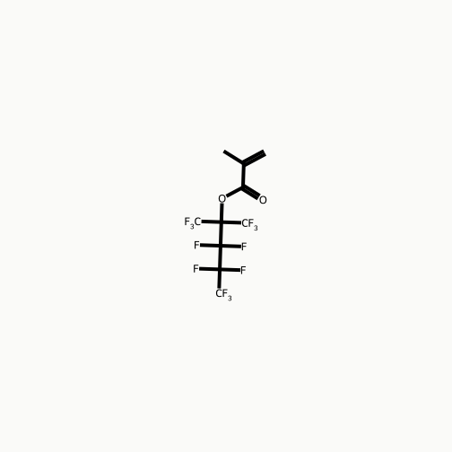 C=C(C)C(=O)OC(C(F)(F)F)(C(F)(F)F)C(F)(F)C(F)(F)C(F)(F)F